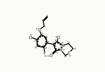 C=CCOc1cc(-c2c(Cl)n3n(c2=O)CCCC3)c(F)cc1Cl